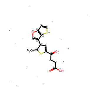 CC1SC(C(=O)CCC(=O)O)=CC1c1coc2ccsc12